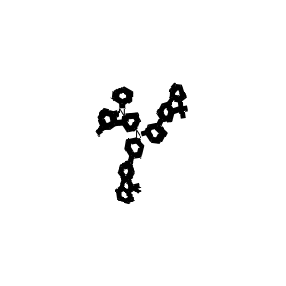 Cc1ccc2c(c1)c1cc(N(c3ccc(-c4ccc5c(c4)C(C)(C)c4ccccc4-5)cc3)c3cccc(-c4ccc5c(c4)C(C)(C)c4ccccc4-5)c3)ccc1n2-c1ccccc1